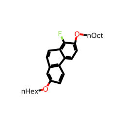 CCCCCCCCOc1ccc2c(ccc3cc(OCCCCCC)ccc32)c1F